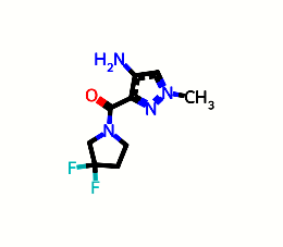 Cn1cc(N)c(C(=O)N2CCC(F)(F)C2)n1